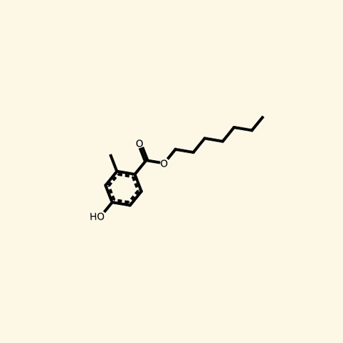 CCCCCCCOC(=O)c1ccc(O)cc1C